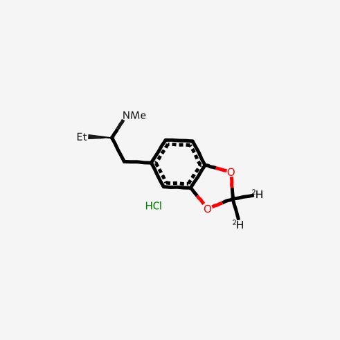 Cl.[2H]C1([2H])Oc2ccc(C[C@@H](CC)NC)cc2O1